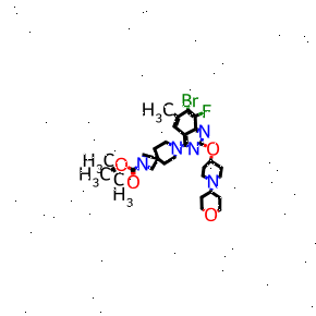 Cc1cc2c(N3CCC4(CC3)CN(C(=O)OC(C)(C)C)C4)nc(OC3CCN(C4CCOCC4)CC3)nc2c(F)c1Br